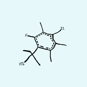 CCc1c(C)c(C)c(C(C)(C)S)c(F)c1C